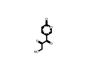 N#CCC(=O)C(=O)c1ccc(=O)oc1